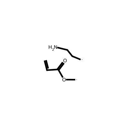 [CH2]CCN.[CH2]OC(=O)C=C